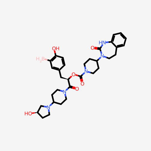 Bc1cc(C[C@@H](OC(=O)N2CCC(N3CCc4ccccc4NC3=O)CC2)C(=O)N2CCC(N3CC[C@@H](O)C3)CC2)ccc1O